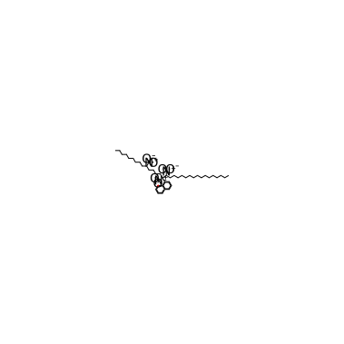 CCCCCCCCCCCCCCCCC([N+](=O)[O-])C(CCCCC(CCCCCCCCC)[N+](=O)[O-])(c1cccc2ccccc12)[N+](=O)[O-]